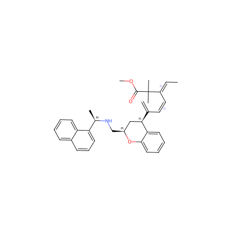 C=C(/C=C\C(=C/C)C(C)(C)C(=O)OC)[C@@H]1C[C@H](CN[C@H](C)c2cccc3ccccc23)Oc2ccccc21